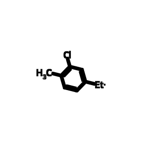 C[CH]c1ccc(C)c(Cl)c1